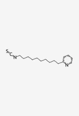 S=C=NCCCCCCCCCCc1ccccn1